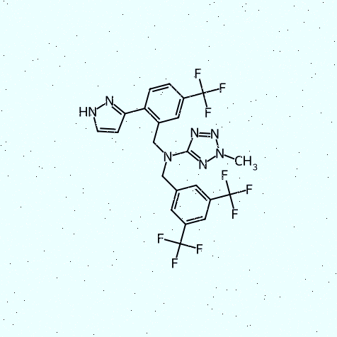 Cn1nnc(N(Cc2cc(C(F)(F)F)cc(C(F)(F)F)c2)Cc2cc(C(F)(F)F)ccc2-c2cc[nH]n2)n1